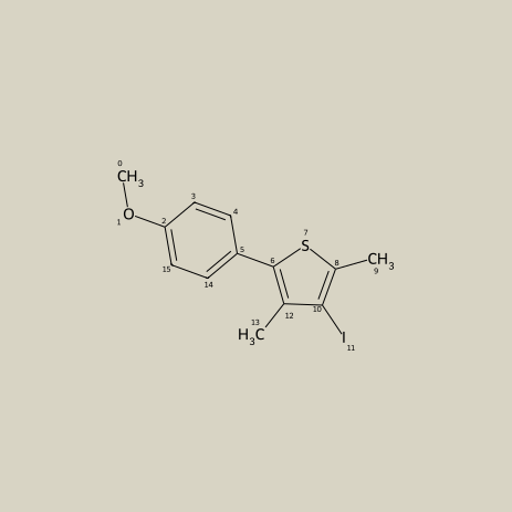 COc1ccc(-c2sc(C)c(I)c2C)cc1